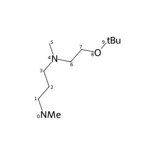 CNCCCN(C)CCOC(C)(C)C